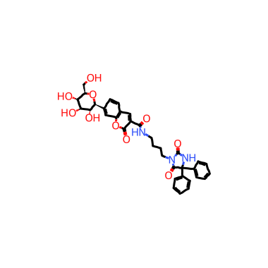 O=C(NCCCCN1C(=O)NC(c2ccccc2)(c2ccccc2)C1=O)c1cc2ccc([C@@H]3O[C@H](CO)[C@H](O)[C@H](O)[C@H]3O)cc2oc1=O